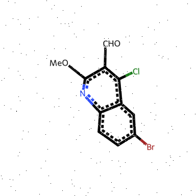 COc1nc2ccc(Br)cc2c(Cl)c1C=O